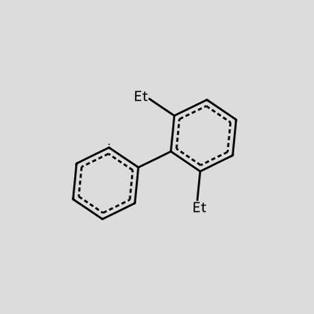 CCc1cccc(CC)c1-c1[c]cccc1